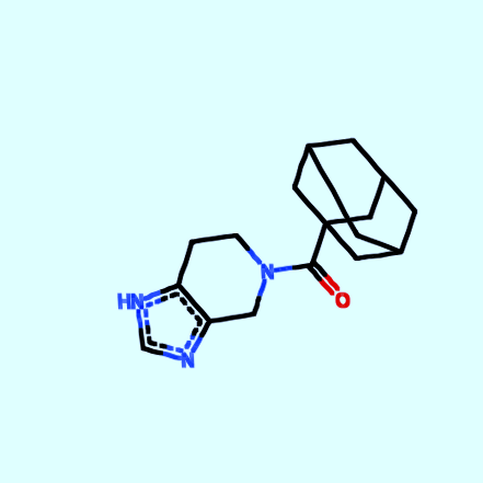 O=C(N1CCc2[nH]cnc2C1)C12CC3CC(CC(C3)C1)C2